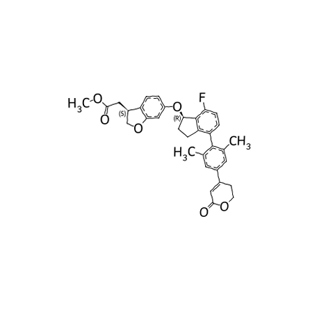 COC(=O)C[C@@H]1COc2cc(O[C@@H]3CCc4c(-c5c(C)cc(C6=CC(=O)OCC6)cc5C)ccc(F)c43)ccc21